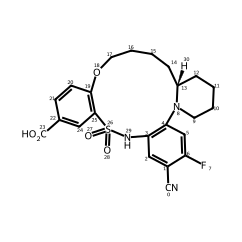 N#Cc1cc2c(cc1F)N1CCCC[C@H]1CCCCOc1ccc(C(=O)O)cc1S(=O)(=O)N2